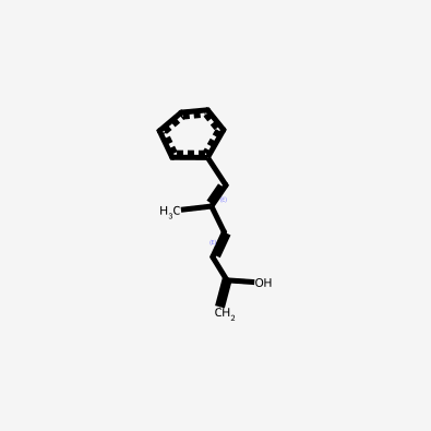 C=C(O)/C=C/C(C)=C/c1ccccc1